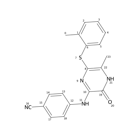 Cc1ccccc1Sc1nc(Nc2ccc(C#N)cc2)c(=O)[nH]c1C